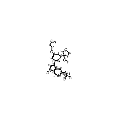 CO[C@@]1(C2CC(OCCO)=CC(c3cn(C)c4cnc(NC(C)=O)cc34)=N2)CCOC1